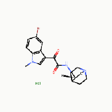 Cl.Cn1cc(C(=O)C(=O)N[C@@H]2CN3CCC2CC3)c2cc(Br)ccc21